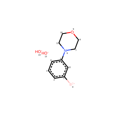 [B+2]c1cccc(N2CCOCC2)c1.[OH-].[OH-]